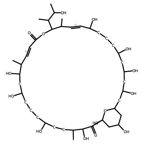 CC(O)C(C)C1OC(=O)/C=C/C(C)C(O)CC(O)CCCC(O)CCC(C)C(O)C(=O)C2(O)CC(O)CC(CC(O)CC(O)CC(O)CCCC(O)/C=C/C1C)O2